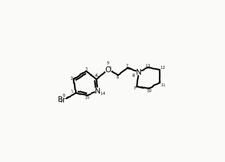 Brc1ccc(OCCN2CCCCC2)nc1